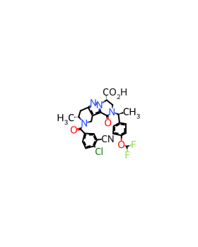 C[C@@H]1Cc2nn3c(c2CN1C(=O)c1ccc(Cl)c(C#N)c1)C(=O)N([C@@H](C)c1ccc(OC(F)F)cc1)C[C@H]3C(=O)O